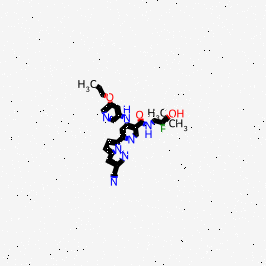 CCCOc1cncc(Nc2cc(-c3ccc4cc(C#N)cnn34)ncc2C(=O)NCC(F)C(C)(C)O)c1